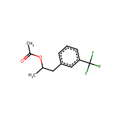 CC(=O)OC(C)Cc1cccc(C(F)(F)F)c1